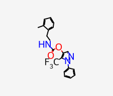 Cc1ccccc1CCNC(=O)Oc1cnn(-c2ccccc2)c1C(F)(F)F